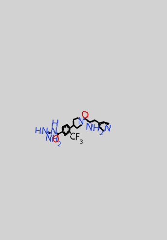 N=C(N)NC(=O)c1ccc(C2CCN(C(=O)C(N)Cc3ccncc3)CC2)c(C(F)(F)F)c1